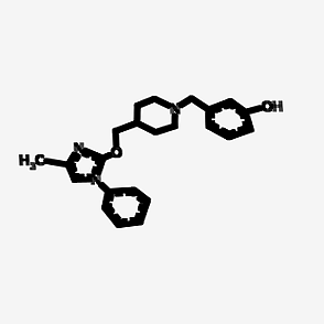 Cc1cn(-c2ccccc2)c(OCC2CCN(Cc3cccc(O)c3)CC2)n1